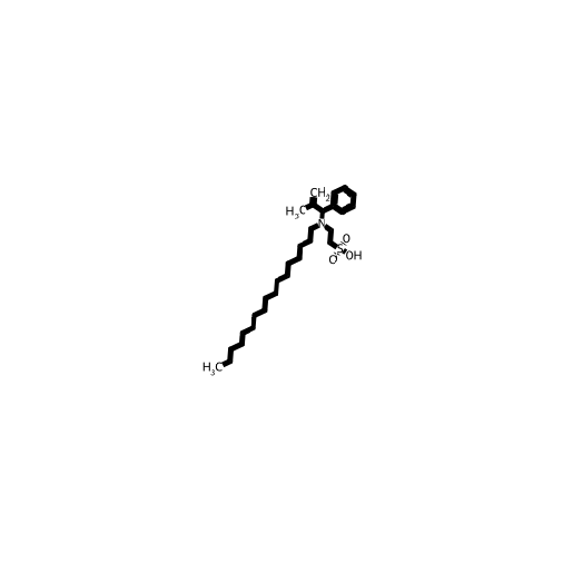 C=C(C)C(c1ccccc1)N(CCCCCCCCCCCCCCCCC)CCS(=O)(=O)O